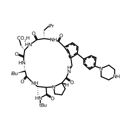 CC[C@H](C)[C@@H]1NC(=O)[C@H](CC(=O)O)NC(=O)[C@H](CC(C)C)NC(=O)c2ccc(-c3ccc(N4CCNCC4)cc3)c(c2)CNC(=O)[C@@H]2CCCN2C(C(=O)NC(C)(C)C)[C@H](C)NC1=O